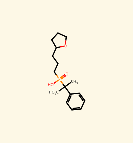 CC(C(=O)O)(c1ccccc1)P(=O)(O)CCCC1CCCO1